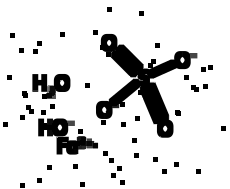 O.O=S(=O)([O-])[O-].[Fe+3].[OH-]